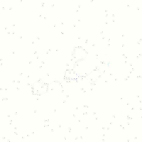 FC(F)(F)c1cccc(N2N=C(/C=C/c3ccccc3)CC2c2ccccc2)c1